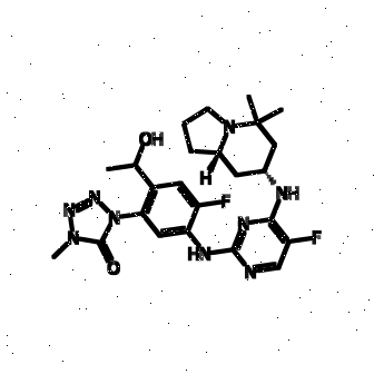 CC(O)c1cc(F)c(Nc2ncc(F)c(N[C@@H]3C[C@@H]4CCCN4C(C)(C)C3)n2)cc1-n1nnn(C)c1=O